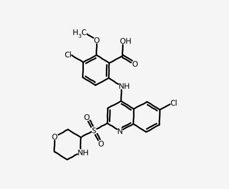 COc1c(Cl)ccc(Nc2cc(S(=O)(=O)C3COCCN3)nc3ccc(Cl)cc23)c1C(=O)O